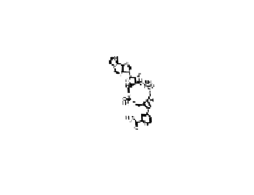 NC(=O)c1cc([C@@H]2C[C@@H]3CO[P@@](=O)(S)O[C@H]4[C@@H](F)[C@H](n5cnc6c5ncn5ccnc65)O[C@@H]4CO[P@@](=O)(S)OCC32)ccn1